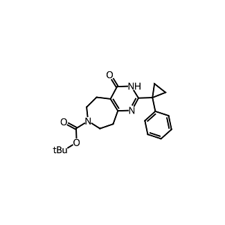 CC(C)(C)OC(=O)N1CCc2nc(C3(c4ccccc4)CC3)[nH]c(=O)c2CC1